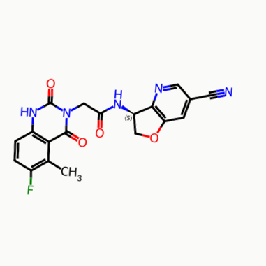 Cc1c(F)ccc2[nH]c(=O)n(CC(=O)N[C@@H]3COc4cc(C#N)cnc43)c(=O)c12